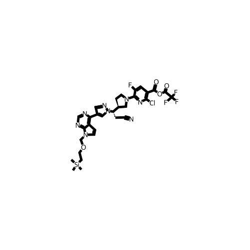 C[Si](C)(C)CCOCn1ccc2c(-c3cnn([C@@H](CC#N)[C@H]4CCN(c5nc(Cl)c(C(=O)OC(=O)C(F)(F)F)cc5F)C4)c3)ncnc21